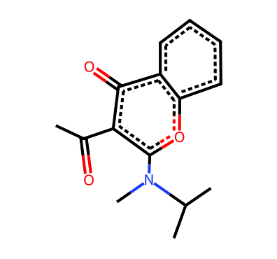 CC(=O)c1c(N(C)C(C)C)oc2ccccc2c1=O